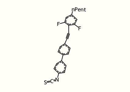 CCCCCc1cc(F)c(C#Cc2ccc(-c3ccc(N=C=S)cc3)cc2)c(F)c1